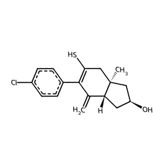 C=C1C(c2ccc(Cl)cc2)=C(S)C[C@@]2(C)C[C@@H](O)C[C@H]12